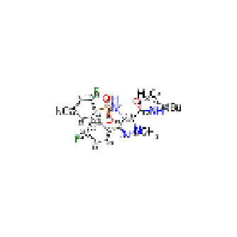 CC(NC(=O)c1c(NS(=O)(=O)c2ccc(C#N)cc2F)c(-c2ccc(F)cc2)nn1C)C(C)(C)C